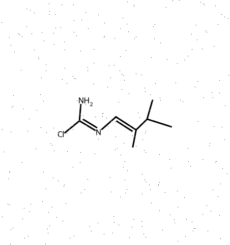 C/C(=C\N=C(/N)Cl)C(C)C